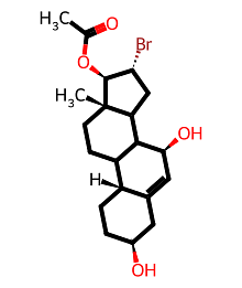 CC(=O)O[C@H]1[C@H](Br)CC2C3C(CC[C@@]21C)[C@H]1CC[C@H](O)CC1=C[C@@H]3O